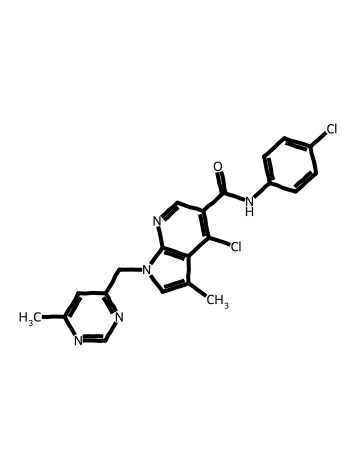 Cc1cc(Cn2cc(C)c3c(Cl)c(C(=O)Nc4ccc(Cl)cc4)cnc32)ncn1